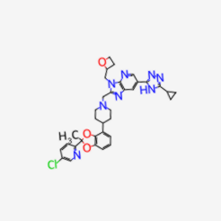 CC1(c2ccc(Cl)cn2)Oc2cccc(C3CCN(Cc4nc5cc(-c6nnc(C7CC7)[nH]6)cnc5n4CC4CCO4)CC3)c2O1